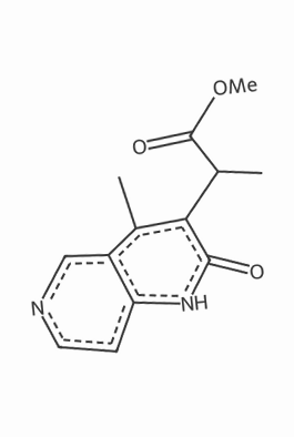 COC(=O)C(C)c1c(C)c2cnccc2[nH]c1=O